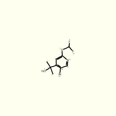 CC(C)(O)c1cc(OC(F)F)ncc1Br